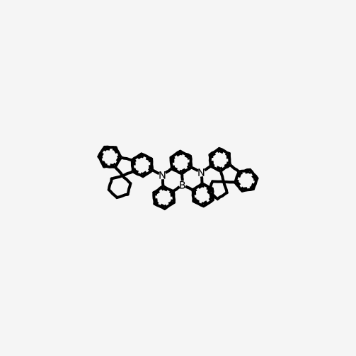 c1ccc2c(c1)B1c3ccccc3N(c3cccc4c3C3(CCCC3)c3ccccc3-4)c3cccc(c31)N2c1ccc2c(c1)C1(CCCCC1)c1ccccc1-2